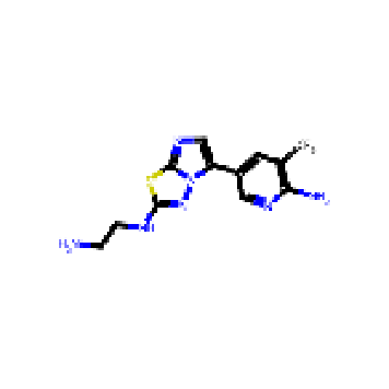 NCCNc1nn2c(-c3cnc(N)c(C(F)(F)F)c3)cnc2s1